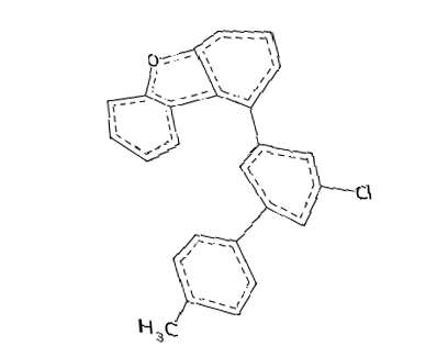 Cc1ccc(-c2cc(Cl)cc(-c3cccc4oc5ccccc5c34)c2)cc1